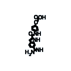 N=C(N)c1ccc2cc(C(=O)Nc3ccc(OCC(=O)O)cc3)[nH]c2c1